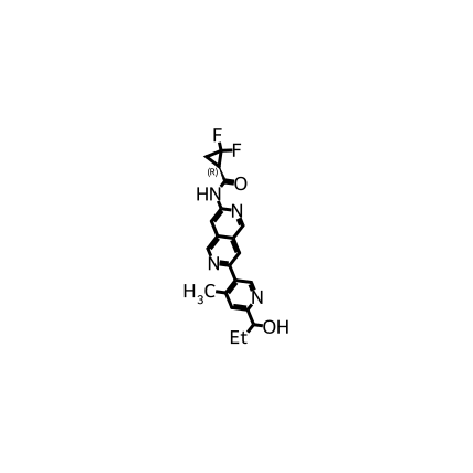 CCC(O)c1cc(C)c(-c2cc3cnc(NC(=O)[C@H]4CC4(F)F)cc3cn2)cn1